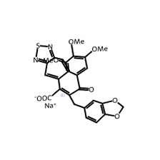 COc1cc(C(=O)/C(Cc2ccc3c(c2)OCO3)=C(/C(=O)[O-])c2ccc3nsnc3c2)cc(OC)c1OC.[Na+]